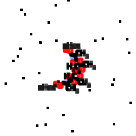 CCCCCCOO/C=C(\C)C(=O)OC(C)(C)OC(=O)OC(C)(C)OC(=O)/C(C)=C/OOCCCCCC